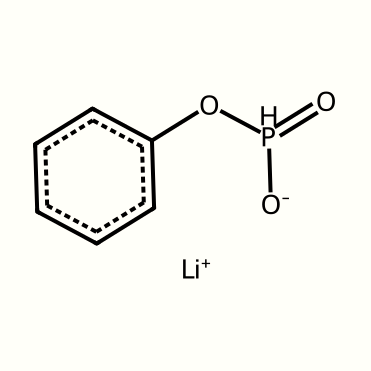 O=[PH]([O-])Oc1ccccc1.[Li+]